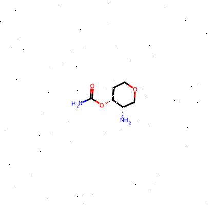 NC(=O)O[C@@H]1CCOC[C@@H]1N